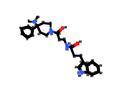 CN(C)C1(c2ccccc2)CCN(C(=O)CCNC(=O)CCc2c[nH]c3ccccc23)CC1